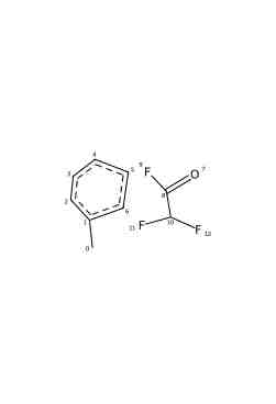 Cc1ccccc1.O=C(F)C(F)F